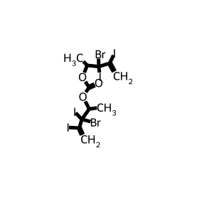 C=C(I)C(Br)(I)C(C)OC(=O)OC(C)C(Br)(I)C(=C)I